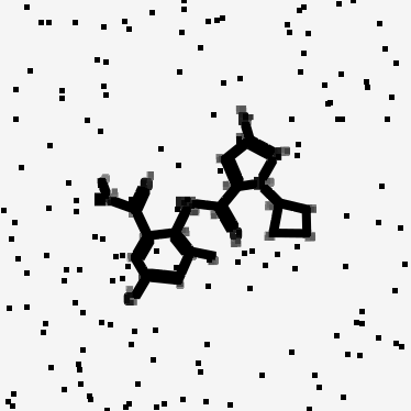 CNC(=O)c1cc(Cl)cc(C)c1NC(=O)c1cc(Br)nn1C1CCC1